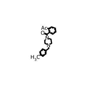 CC(=O)c1ccccc1C(=O)N1CCN(Cc2ccc(C)cc2)CC1